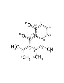 CC(C)=c1c(C)c(C#N)c2nccc(=O)n2c1=O